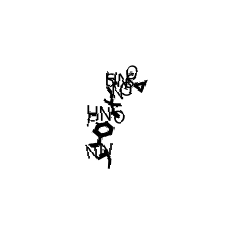 CCc1cncc(-c2ccc(NC(=O)C(C)(C)c3csc(NS(=O)(=O)C4CC4)n3)c(F)c2)n1